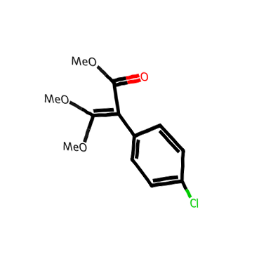 COC(=O)C(=C(OC)OC)c1ccc(Cl)cc1